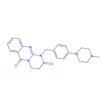 CN1CCN(c2ccc(CN3C(=O)CCn4c3nc3ccccc3c4=O)cc2)CC1